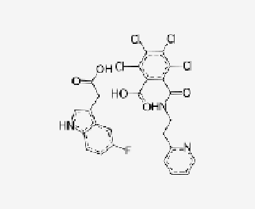 O=C(O)Cc1c[nH]c2ccc(F)cc12.O=C(O)c1c(Cl)c(Cl)c(Cl)c(Cl)c1C(=O)NCCc1ccccn1